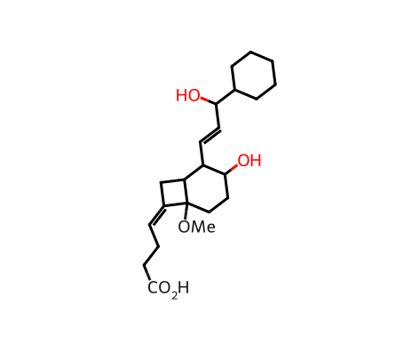 COC12CCC(O)C(/C=C/C(O)C3CCCCC3)C1C/C2=C/CCC(=O)O